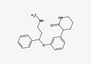 CNCCC(Oc1cccc(C2CCCNC2=O)c1)c1ccccc1